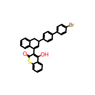 O=c1sc2ccccc2c(O)c1C1=CC(c2ccc(-c3ccc(Br)cc3)cc2)Cc2ccccc21